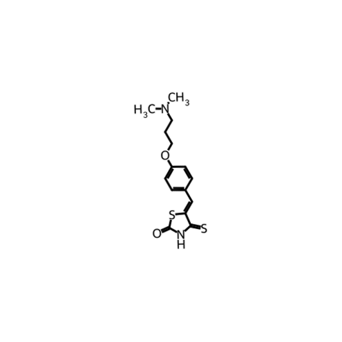 CN(C)CCCOc1ccc(/C=C2\SC(=O)NC2=S)cc1